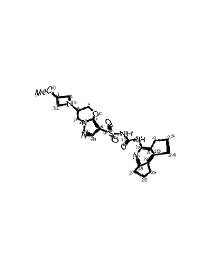 COC1CN(C2COc3c(S(=O)(=O)NC(=O)Nc4nc5c(c6c4CCC6)CCC5)cnn3C2)C1